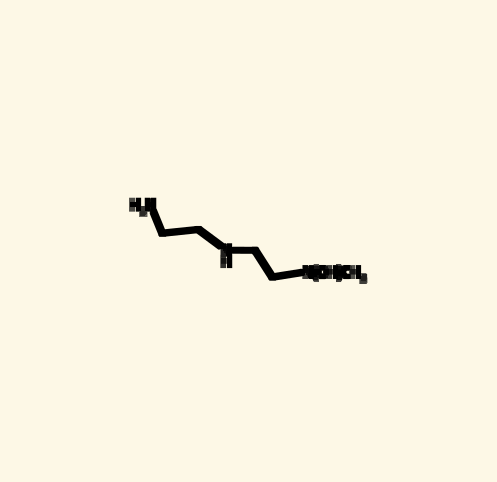 CN(O)CCNCCN